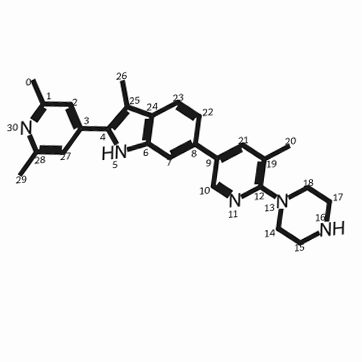 Cc1cc(-c2[nH]c3cc(-c4cnc(N5CCNCC5)c(C)c4)ccc3c2C)cc(C)n1